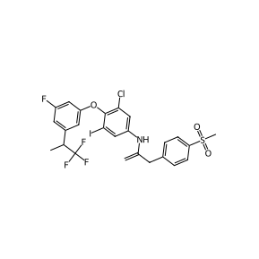 C=C(Cc1ccc(S(C)(=O)=O)cc1)Nc1cc(Cl)c(Oc2cc(F)cc(C(C)C(F)(F)F)c2)c(I)c1